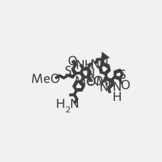 COCCc1cc2c(s1)c(=O)[nH]c1c(CNCC3(c4ccc(-c5c(OC)nc(C)c6[nH]c(=O)c7sccc7c56)cc4)CC3)nc(OC)c(-c3ccc(C(C)CN)cc3)c12